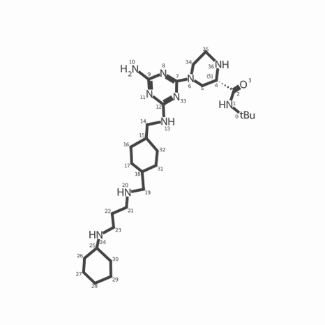 CC(C)(C)NC(=O)[C@@H]1CN(c2nc(N)nc(NCC3CCC(CNCCCNC4CCCCC4)CC3)n2)CCN1